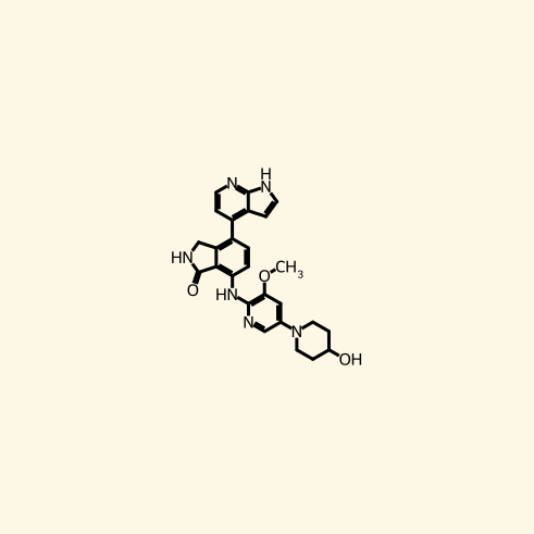 COc1cc(N2CCC(O)CC2)cnc1Nc1ccc(-c2ccnc3[nH]ccc23)c2c1C(=O)NC2